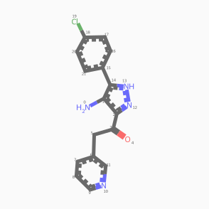 Nc1c(C(=O)Cc2cccnc2)n[nH]c1-c1ccc(Cl)cc1